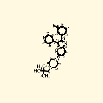 CC(C)(O)CN1CCN(c2ccc3nc(-c4cccc(F)c4)c(-c4ccncc4)n3n2)CC1